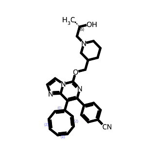 C[C@H](O)CN1CCCC(COc2nc(-c3ccc(C#N)cc3)c(C3=C/C=C\C=C/C=C\3)c3nccn23)C1